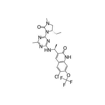 CC[C@H]1CN(C)C(=O)N1c1nc(C)nc(N[C@@H](C)c2cc3cc(Cl)c(OC(F)(F)F)cc3[nH]c2=O)n1